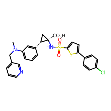 CN(Cc1cccnc1)c1cccc([C@@H]2C[C@]2(NS(=O)(=O)c2ccc(-c3ccc(Cl)cc3)s2)C(=O)O)c1